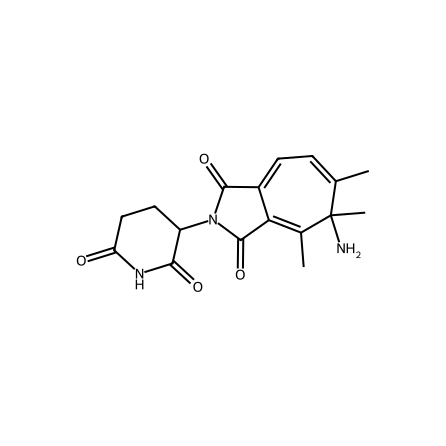 CC1=CC=C2C(=O)N(C3CCC(=O)NC3=O)C(=O)C2=C(C)C1(C)N